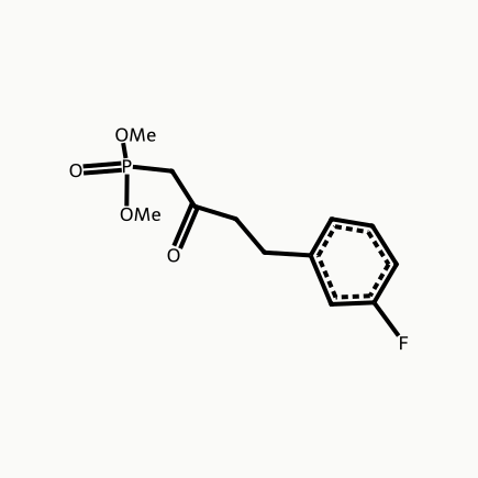 COP(=O)(CC(=O)CCc1cccc(F)c1)OC